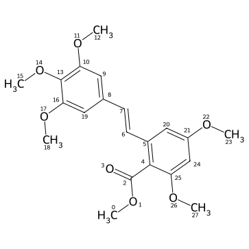 COC(=O)c1c(C=Cc2cc(OC)c(OC)c(OC)c2)cc(OC)cc1OC